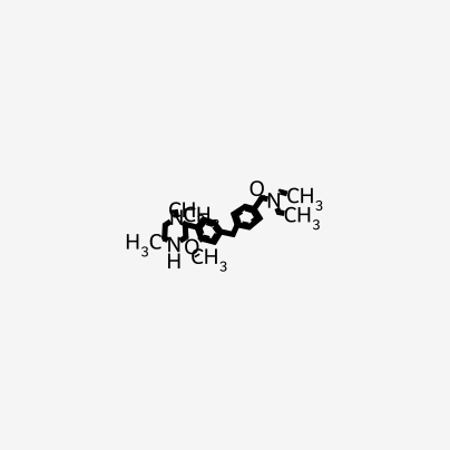 CCN(CC)C(=O)c1ccc(Cc2ccc(C3(C)CNC(C)CN3C)c(OC)c2)cc1